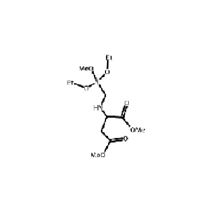 CCO[Si](CNC(CC(=O)OC)C(=O)OC)(OC)OCC